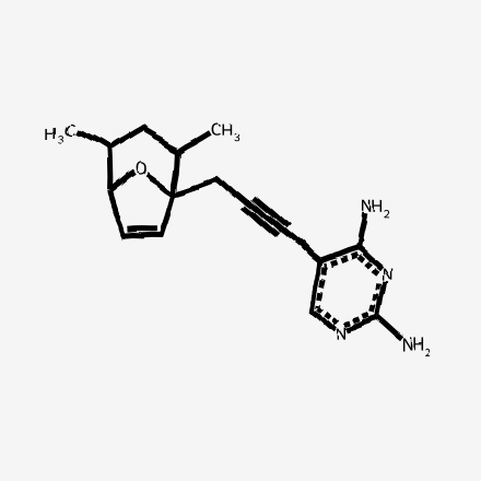 CC1CC(C)C2(CC#Cc3cnc(N)nc3N)C=CC1O2